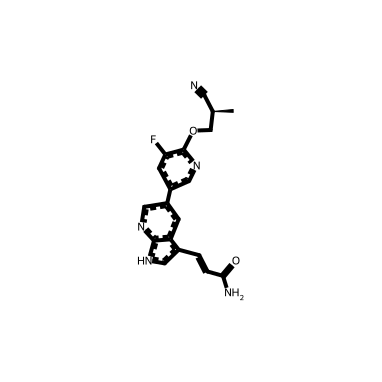 C[C@H](C#N)COc1ncc(-c2cnc3[nH]cc(C=CC(N)=O)c3c2)cc1F